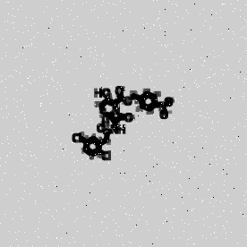 O=C(Cc1cc(Cl)ccc1Cl)NC1C(=O)N2C(C(=O)OCc3ccc([N+](=O)[O-])cc3)=C(O)CS[C@@H]12